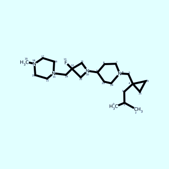 CC(C)CC1(CN2CCC(N3CC(F)(CN4CCN(C)CC4)C3)CC2)CC1